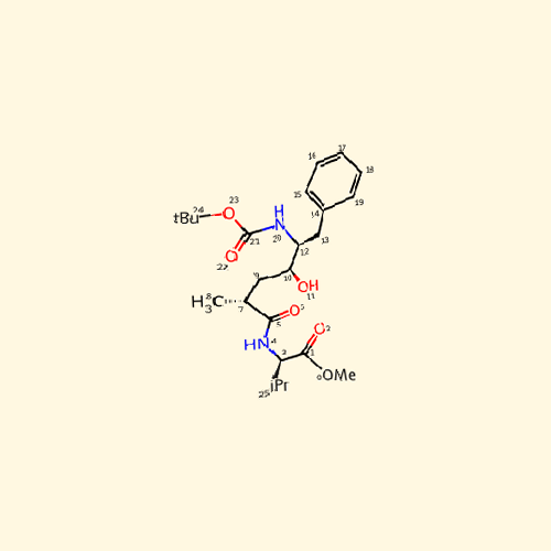 COC(=O)[C@H](NC(=O)[C@H](C)C[C@H](O)[C@H](Cc1ccccc1)NC(=O)OC(C)(C)C)C(C)C